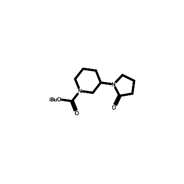 CC(C)COC(=O)N1CCCC(N2CCCC2=O)C1